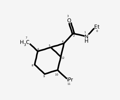 CCNC(=O)C1C2C(C)CCC(C(C)C)C12